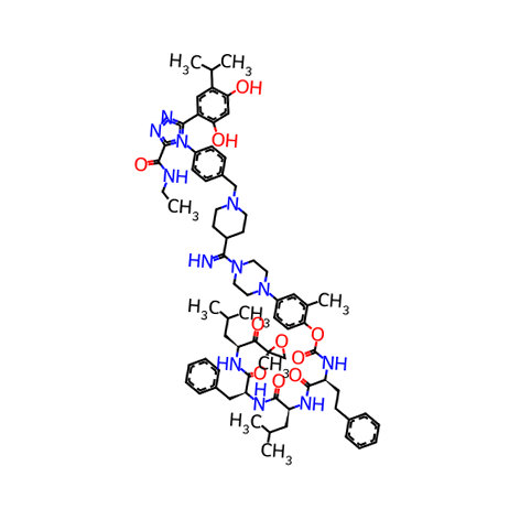 CCNC(=O)c1nnc(-c2cc(C(C)C)c(O)cc2O)n1-c1ccc(CN2CCC(C(=N)N3CCN(c4ccc(OC(=O)N[C@@H](CCc5ccccc5)C(=O)N[C@@H](CC(C)C)C(=O)N[C@@H](Cc5ccccc5)C(=O)N[C@@H](CC(C)C)C(=O)[C@@]5(C)CO5)c(C)c4)CC3)CC2)cc1